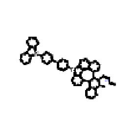 C=C/C=C\c1c2c(c3ccccc3c1C)-c1cccc3c1c1c4c-2cccc4ccc1n3-c1ccc(-c2ccc(-n3c4ccccc4c4ccccc43)cc2)cc1